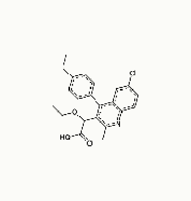 CCOC(C(=O)O)c1c(C)nc2ccc(Cl)cc2c1-c1ccc(CC)cc1